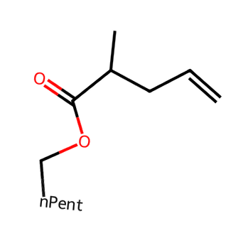 C=CCC(C)C(=O)OCCCCCC